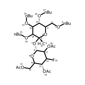 CCCCOCC1O[C@](C)(O[C@H]2OC(COC(C)=O)[C@@H](OC(C)=O)C(F)C2OC(C)=O)C(OCCCC)C(OCCCC)[C@@H]1OCCCC